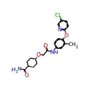 Cc1cc(NC(=O)COC2CCC(C(N)=O)CC2)ccc1Oc1ccc(Cl)cn1